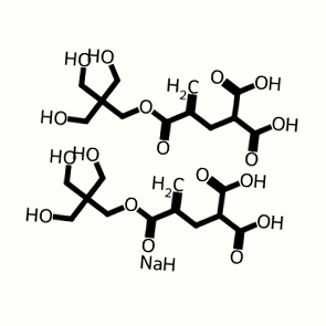 C=C(CC(C(=O)O)C(=O)O)C(=O)OCC(CO)(CO)CO.C=C(CC(C(=O)O)C(=O)O)C(=O)OCC(CO)(CO)CO.[NaH]